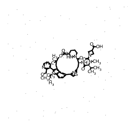 CCn1c(-c2cccnc2[C@H](C)OC)c2c3cc(ccc31)-c1csc(n1)C[C@H](NC(=O)[C@H](C(C)C)N(C)C(=O)N1CC(C(=O)O)C1)C(=O)N1CCC[C@@](O)(N1)C(=O)OCC(C)(C)C2